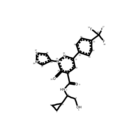 O=C(NC(CO)C1CC1)c1cc(-c2ccc(C(F)(F)F)cc2)nn(-c2cnsc2)c1=O